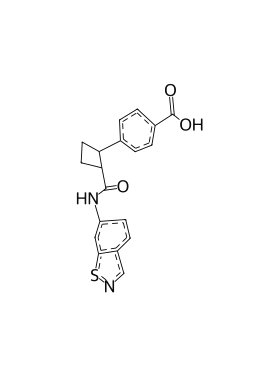 O=C(O)c1ccc(C2CCC2C(=O)Nc2ccc3cnsc3c2)cc1